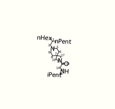 CCCCCCC(CCCCC)CN1CCC2(CC1)CN(C(=O)CNC(C)CCC)C2